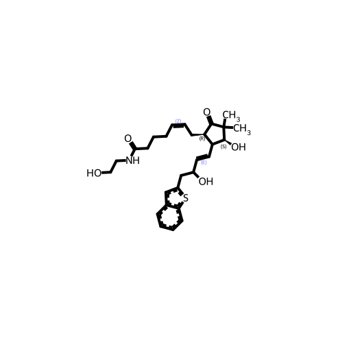 CC1(C)C(=O)[C@H](C/C=C\CCCC(=O)NCCO)C(/C=C/C(O)Cc2cc3ccccc3s2)[C@@H]1O